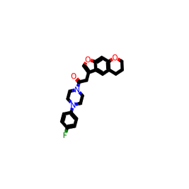 O=C(Cc1coc2cc3c(cc12)CCCO3)N1CCN(c2ccc(F)cc2)CC1